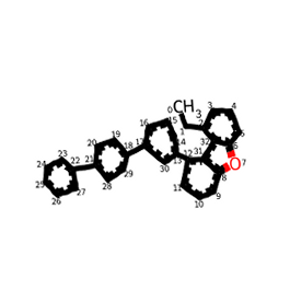 CCc1cccc2oc3cccc(-c4cccc(-c5ccc(-c6ccccc6)cc5)c4)c3c12